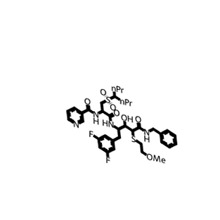 CCCC(CCC)S(=O)(=O)CC(NC(=O)c1cccnc1)C(=O)NC(Cc1cc(F)cc(F)c1)C(O)C(SCCOC)C(=O)NCc1ccccc1